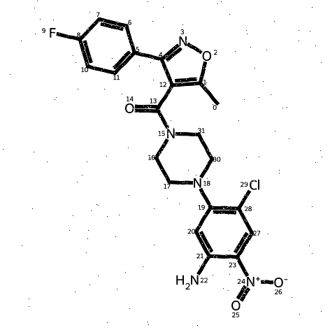 Cc1onc(-c2ccc(F)cc2)c1C(=O)N1CCN(c2cc(N)c([N+](=O)[O-])cc2Cl)CC1